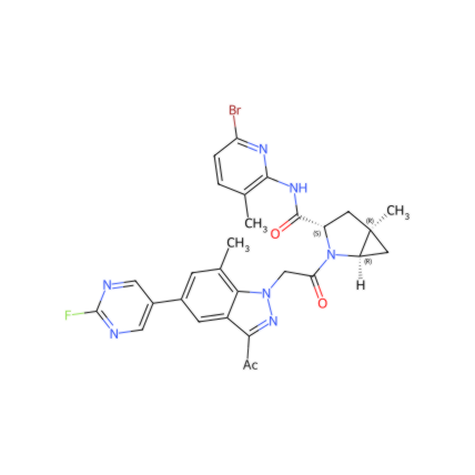 CC(=O)c1nn(CC(=O)N2[C@H](C(=O)Nc3nc(Br)ccc3C)C[C@@]3(C)C[C@@H]23)c2c(C)cc(-c3cnc(F)nc3)cc12